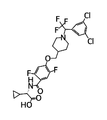 O=C(N[C@H](C(=O)O)C1CC1)c1cc(F)c(OCC2CCN(C(c3cc(Cl)cc(Cl)c3)C(F)(F)F)CC2)cc1F